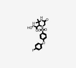 CC1(C)NC(=O)CN(S(=O)(=O)c2ccc(Oc3ccc(F)cc3)cc2)C1C(=O)NO